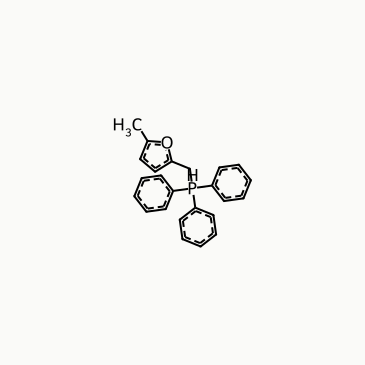 Cc1ccc(C[PH](c2ccccc2)(c2ccccc2)c2ccccc2)o1